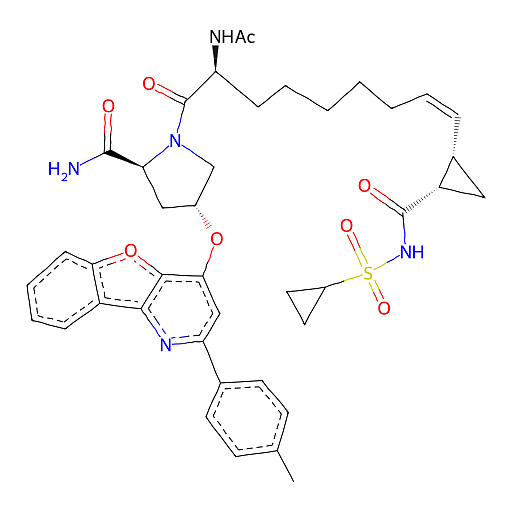 CC(=O)N[C@@H](CCCCC/C=C\[C@@H]1C[C@@H]1C(=O)NS(=O)(=O)C1CC1)C(=O)N1C[C@H](Oc2cc(-c3ccc(C)cc3)nc3c2oc2ccccc23)C[C@H]1C(N)=O